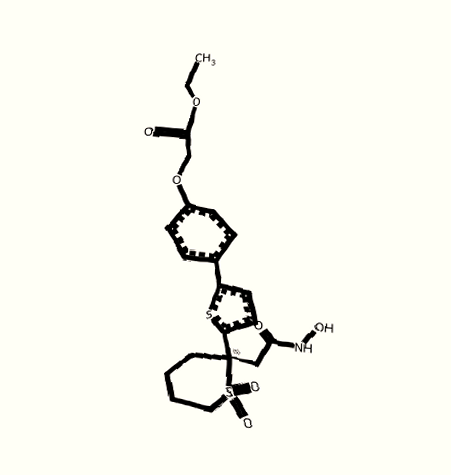 CCOC(=O)COc1ccc(-c2ccc([C@@]3(CC(=O)NO)CCCCS3(=O)=O)s2)cc1